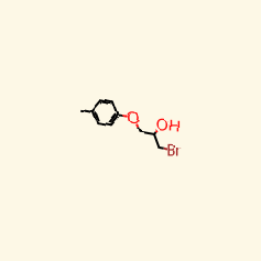 Cc1ccc(OCC(O)CBr)cc1